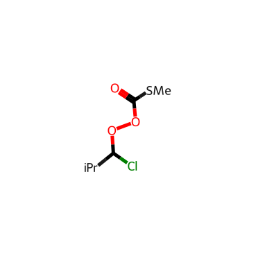 CSC(=O)OOC(Cl)C(C)C